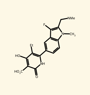 CCc1c(-c2ccc3c(c2)c(F)c(CNC)n3C)[nH]c(=O)c(C(=O)O)c1O